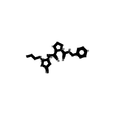 CCCO[C@H]1OC(=O)C[C@@H]1NC(=O)C1CCCN1C(=O)OCc1ccccc1